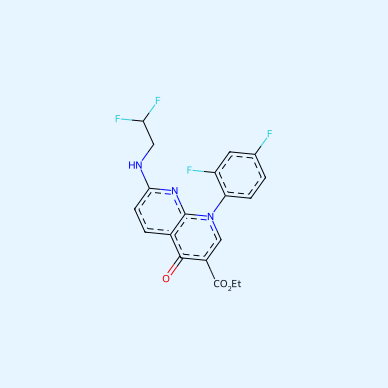 CCOC(=O)c1cn(-c2ccc(F)cc2F)c2nc(NCC(F)F)ccc2c1=O